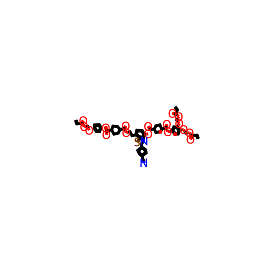 C=CC(=O)OCOc1ccc(OC(=O)C2CCC(C(=O)OCCc3ccc(OC(=O)C4CCC(C(=O)Oc5ccc(OCOC(=O)C=C)c(OCOC(=O)C=C)c5)CC4)c4nc(-c5ccc(C#N)cc5)sc34)CC2)cc1